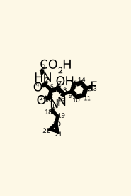 O=C(O)CNC(=O)c1c(O)c(-c2ccc(F)cc2)nn(CCC2CC2)c1=O